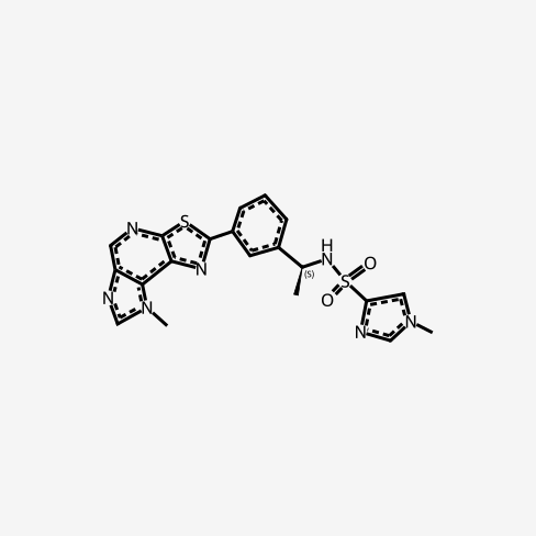 C[C@H](NS(=O)(=O)c1cn(C)cn1)c1cccc(-c2nc3c(ncc4ncn(C)c43)s2)c1